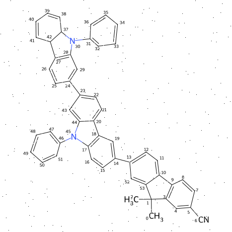 CC1(C)c2cc(C#N)ccc2-c2ccc(-c3ccc4c(c3)c3ccc(-c5ccc6c(c5)N(c5ccccc5)C5C=CC=CC65)cc3n4-c3ccccc3)cc21